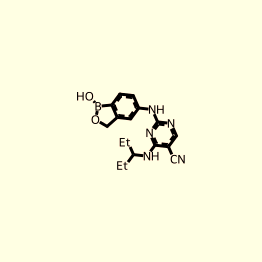 CCC(CC)Nc1nc(Nc2ccc3c(c2)COB3O)ncc1C#N